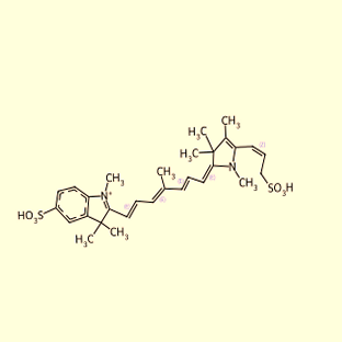 CC1=C(/C=C\CS(=O)(=O)O)N(C)/C(=C/C=C/C(C)=C/C=C/C2=[N+](C)c3ccc(S(=O)(=O)O)cc3C2(C)C)C1(C)C